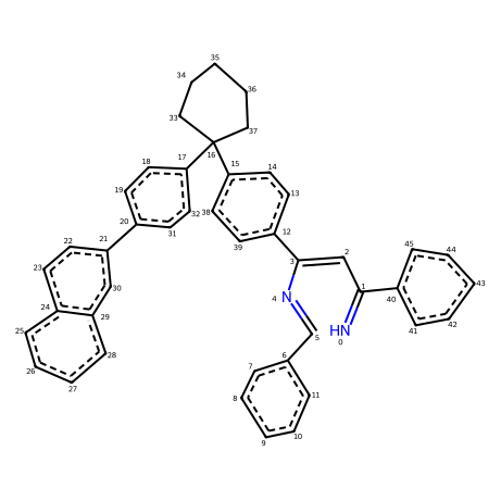 N=C(/C=C(\N=C\c1ccccc1)c1ccc(C2(c3ccc(-c4ccc5ccccc5c4)cc3)CCCCC2)cc1)c1ccccc1